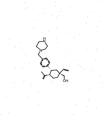 C=C[C@]1(CO)CC[C@@H](C(=C)C)[C@H](c2ccc(CN3CCNCC3)cc2)C1